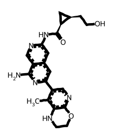 Cc1c(-c2cc3cc(NC(=O)[C@H]4C[C@H]4CCO)ncc3c(N)n2)cnc2c1NCCO2